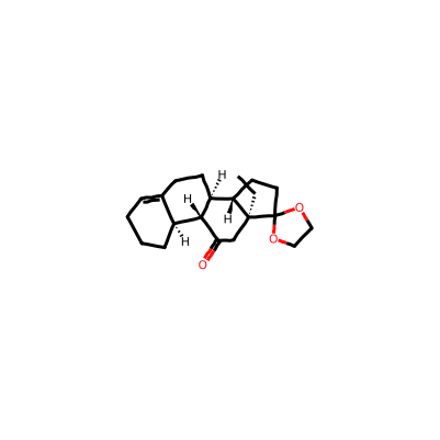 CC[C@]12CC(=O)[C@H]3[C@@H](CCC4=CCCC[C@@H]43)[C@@H]1CCC21OCCO1